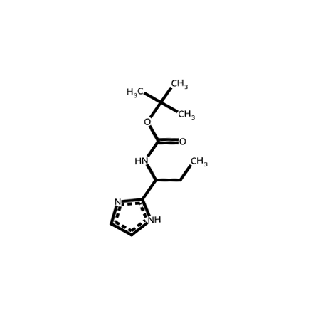 CCC(NC(=O)OC(C)(C)C)c1ncc[nH]1